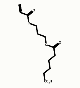 C=CC(=O)OCCCOC(=O)CCCCC(=O)O